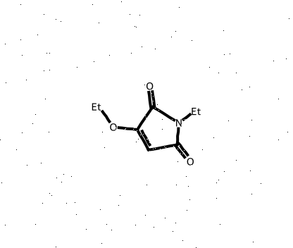 CCOC1=CC(=O)N(CC)C1=O